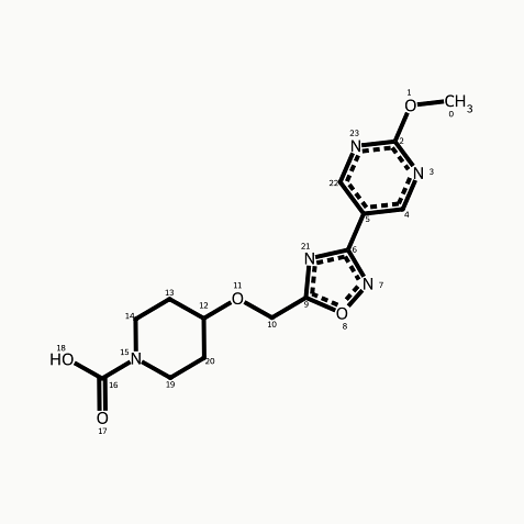 COc1ncc(-c2noc(COC3CCN(C(=O)O)CC3)n2)cn1